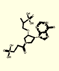 CC(CO[C@H]1CN(C(=O)CCP(=O)(O)O)C[C@H]1n1cnc2c(=O)[nH]cnc21)P(=O)(O)O